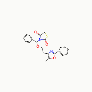 Cc1oc(-c2ccccc2)nc1CCOC(c1ccccc1)N1C(=O)CSC1=O